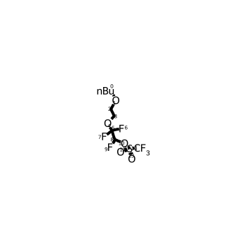 CCCCOCCOC(F)(F)C(F)OS(=O)(=O)C(F)(F)F